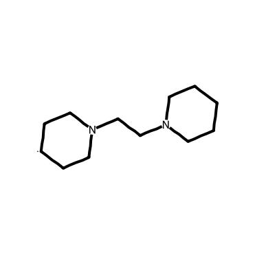 [CH]1CCN(CCN2CCCCC2)CC1